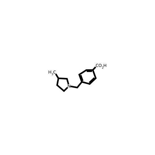 CC1CCN(Cc2ccc(C(=O)O)cc2)C1